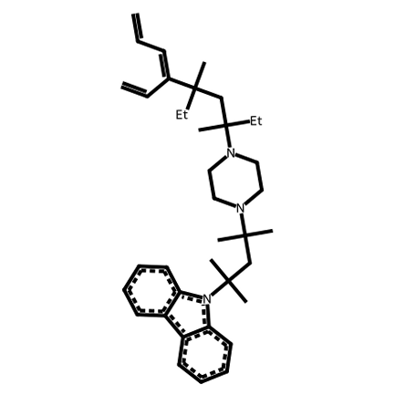 C=C/C=C(\C=C)C(C)(CC)CC(C)(CC)N1CCN(C(C)(C)CC(C)(C)n2c3ccccc3c3ccccc32)CC1